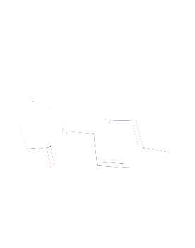 CC(C)[C@@H]1CN(c2ccc(C(F)(F)F)cn2)C(=O)CO1